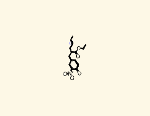 C/C=C/CC(CC1C=CC(=O)C([N+](=O)[O-])=C1)C(=O)OCC